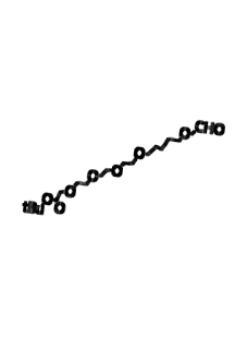 CC(C)(C)OC(=O)COCCOCCOCCOCCCCCOCC=O